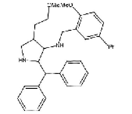 COCCC1CNC(C(c2ccccc2)c2ccccc2)C1NCc1cc(C(C)C)ccc1OC